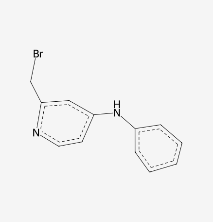 BrCc1cc(Nc2ccccc2)ccn1